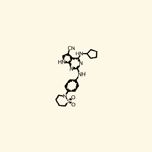 N#Cc1c[nH]c2nc(Nc3ccc(N4CCCCS4(=O)=O)cc3)nc(NC3CCCC3)c12